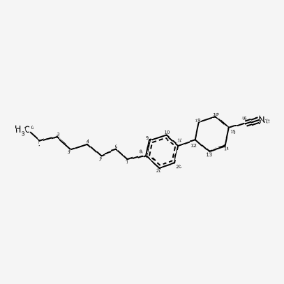 CCCCCCCCc1ccc(C2CCC(C#N)CC2)cc1